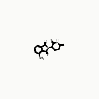 C=C1CCC(N2C(=O)c3cccc(N)c3C2=O)C(=O)N1